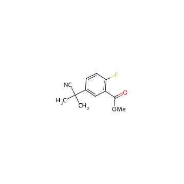 COC(=O)c1cc(C(C)(C)C#N)ccc1F